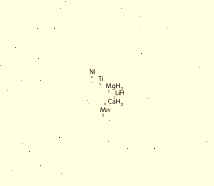 [CaH2].[LiH].[MgH2].[Mn].[Ni].[Ti]